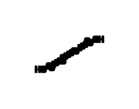 O=C(CSCSCSCCOOCSCSCSCOC(=O)CSCSCSCC(=O)OCCCO)OCCCO